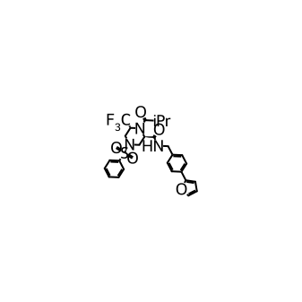 CC(C)C(=O)N1[C@@H](C(=O)NCc2ccc(-c3ccco3)cc2)CN(S(=O)(=O)c2ccccc2)C[C@H]1C(F)(F)F